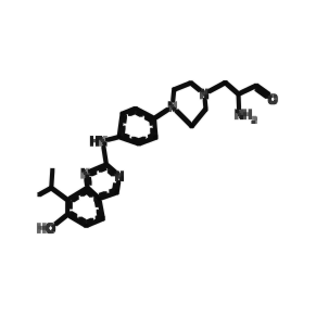 CC(C)c1c(O)ccc2cnc(Nc3ccc(N4CCN(CC(N)C=O)CC4)cc3)nc12